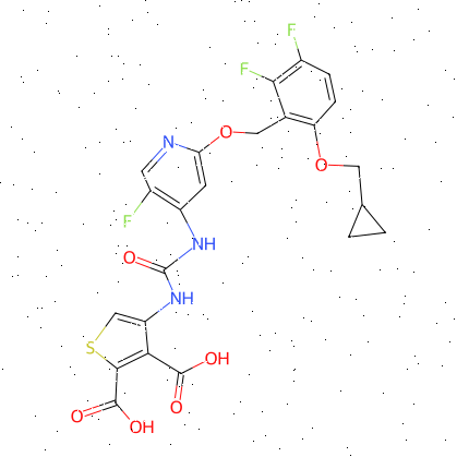 O=C(Nc1cc(OCc2c(OCC3CC3)ccc(F)c2F)ncc1F)Nc1csc(C(=O)O)c1C(=O)O